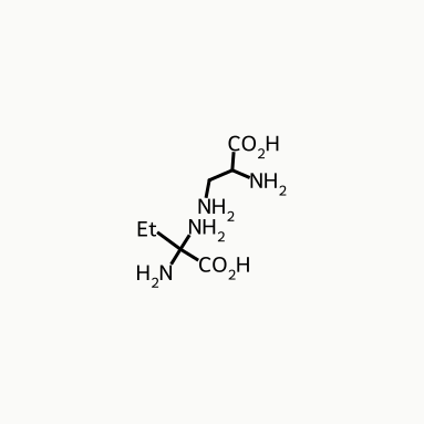 CCC(N)(N)C(=O)O.NCC(N)C(=O)O